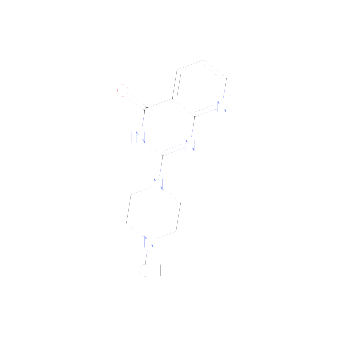 CN1CCN(c2nc3ncccc3c(=O)[nH]2)CC1